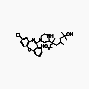 CC(CC(C)(C)O)C[C@@](C)(C(=O)O)[C@H]1CN(C2=Nc3cc(Cl)ccc3Oc3ccccc32)CCN1